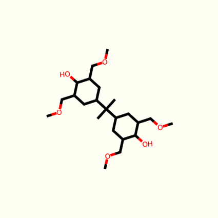 COCC1CC(C(C)(C)C2CC(COC)C(O)C(COC)C2)CC(COC)C1O